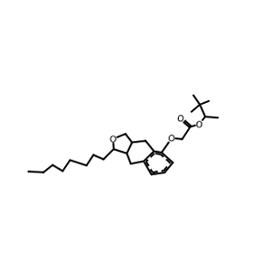 CCCCCCCCC1OCC2Cc3c(cccc3OCC(=O)OC(C)C(C)(C)C)CC21